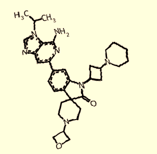 CC(C)n1cnc2cc(-c3ccc4c(c3)N(C3CC(N5CCCCC5)C3)C(=O)C43CCN(C4COC4)CC3)nc(N)c21